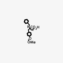 COCOc1ccc(CC(CF)(/N=C/c2ccccc2)C(=O)O)cc1